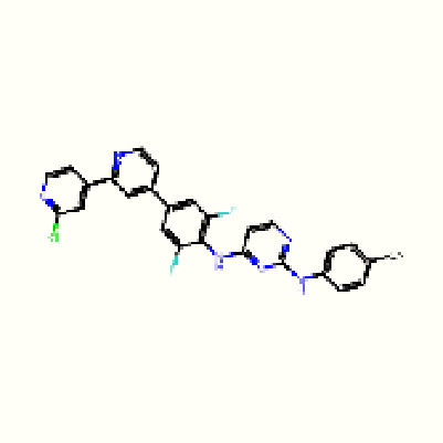 N#Cc1ccc(Nc2nccc(Nc3c(F)cc(-c4ccnc(-c5ccnc(Cl)c5)c4)cc3F)n2)cc1